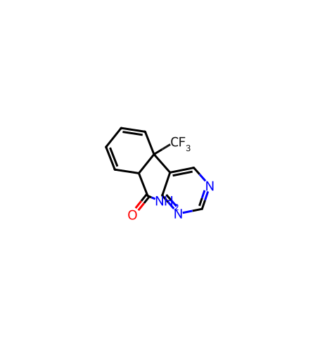 NC(=O)C1C=CC=CC1(c1cncnc1)C(F)(F)F